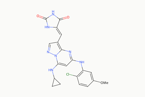 COc1ccc(Cl)c(Nc2cc(NC3CC3)n3ncc(/C=C4\NC(=O)NC4=O)c3n2)c1